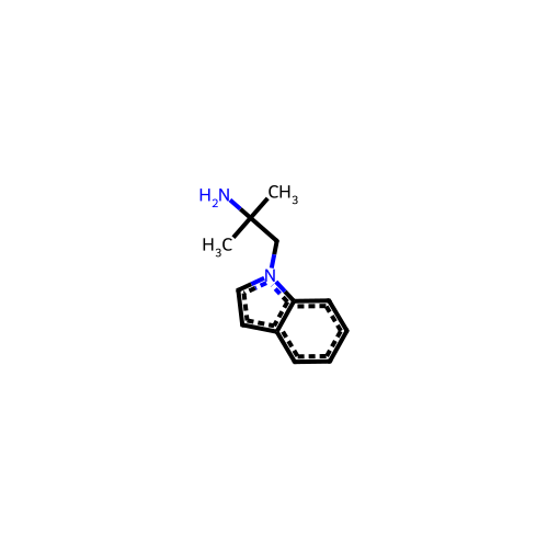 CC(C)(N)Cn1ccc2ccccc21